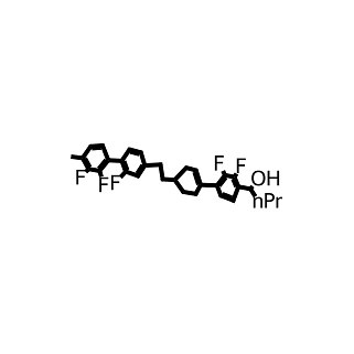 CCCC(O)c1ccc(C2=CCC(CCc3ccc(-c4ccc(C)c(F)c4F)c(F)c3)CC2)c(F)c1F